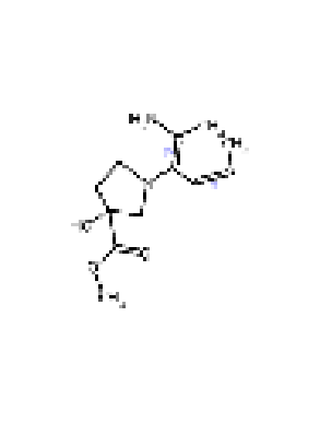 C/C=C\C(=C(/C)N)N1CCC(O)(C(=O)OC)C1